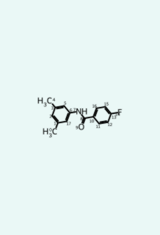 Cc1cc(C)cc(NC(=O)c2ccc(F)cc2)c1